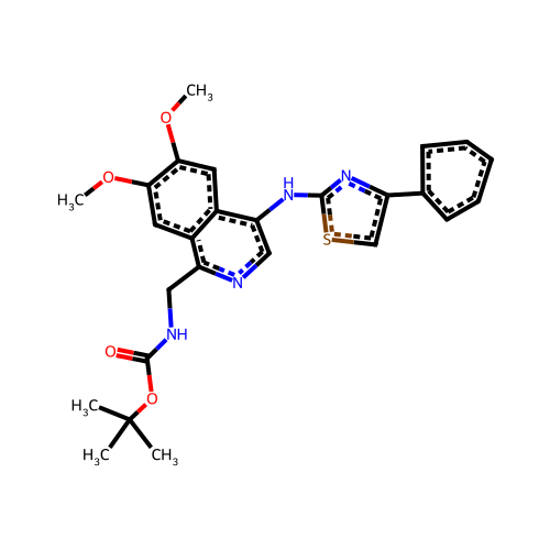 COc1cc2c(Nc3nc(-c4ccccc4)cs3)cnc(CNC(=O)OC(C)(C)C)c2cc1OC